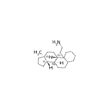 C[C@@]12CCC[C@H]1[C@@H]1CCC3CCCCC3(CCN)[C@H]1CC2